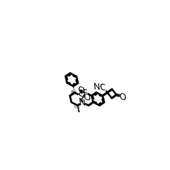 C[C@H]1CC[C@H](c2ccccc2)S(=O)(=O)N1Cc1ccc(C2(C#N)CC(=O)C2)cc1F